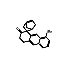 CC(C)(C)c1cccc2cc3c(cc12)C1(CC2=CCC1C2)C(=O)CC3